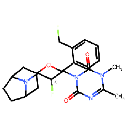 Cc1nc(=O)n(C[C@@H](F)CN2C3CCC2CC(OCc2ccccc2CF)C3)c(=O)n1C